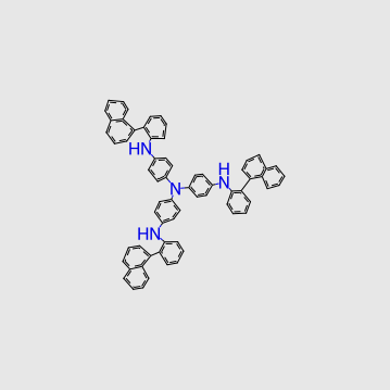 c1ccc(-c2cccc3ccccc23)c(Nc2ccc(N(c3ccc(Nc4ccccc4-c4cccc5ccccc45)cc3)c3ccc(Nc4ccccc4-c4cccc5ccccc45)cc3)cc2)c1